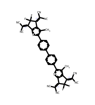 [C-]#[N+]/C(C#N)=C1/c2c(sc(-c3ccc(-c4ccc(-c5sc6c(c5C)/C(=C(/C#N)[N+]#[C-])C(F)(F)/C6=C(\C#N)[N+]#[C-])cc4)cc3)c2C)/C(=C(\C#N)[N+]#[C-])C1(F)F